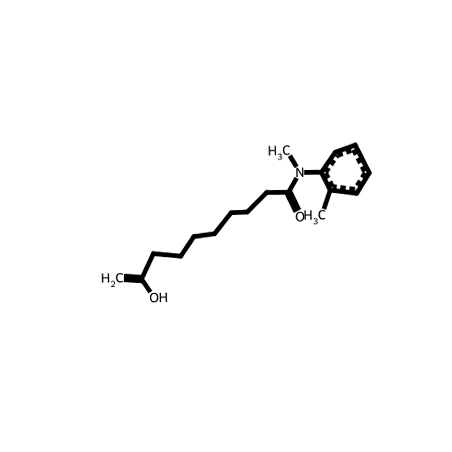 C=C(O)CCCCCCCC(=O)N(C)c1ccccc1C